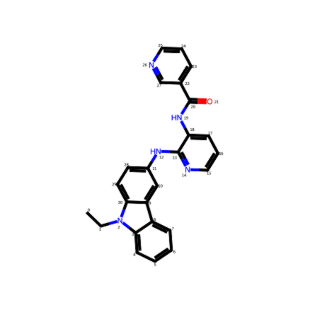 CCn1c2ccccc2c2cc(Nc3ncccc3NC(=O)c3cccnc3)ccc21